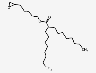 CCCCCCCCC(CCCCCCCC)C(=O)OCCCCCC1CO1